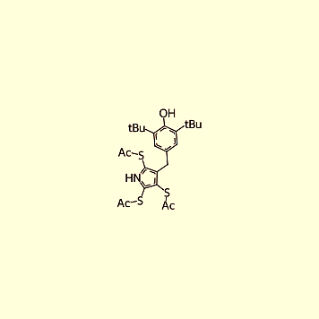 CC(=O)Sc1[nH]c(SC(C)=O)c(SC(C)=O)c1Cc1cc(C(C)(C)C)c(O)c(C(C)(C)C)c1